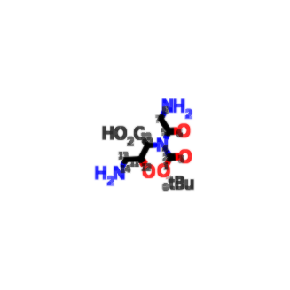 CC(C)(C)OC(=O)N(C(=O)CN)C(C(=O)O)C(=O)CN